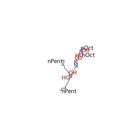 CCCCC/C=C\C/C=C\CCCCCCC(O)CN(CCCSSCCN1CCN(CCOC(=O)CCCN(CC(O)CCCCCCCC)CC(O)CCCCCCCC)CC1)CC(O)CCCCCC/C=C\C/C=C\CCCCC